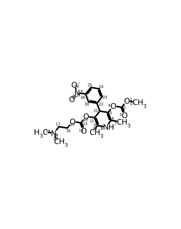 COC(=O)OC1=C(C)NC(C)=C(OC(=O)OCCN(C)C)C1c1cccc([N+](=O)[O-])c1